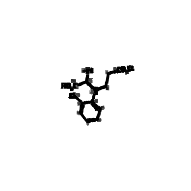 CCOC(=O)CCN(c1ccccc1Cl)C(CC)C(=O)O